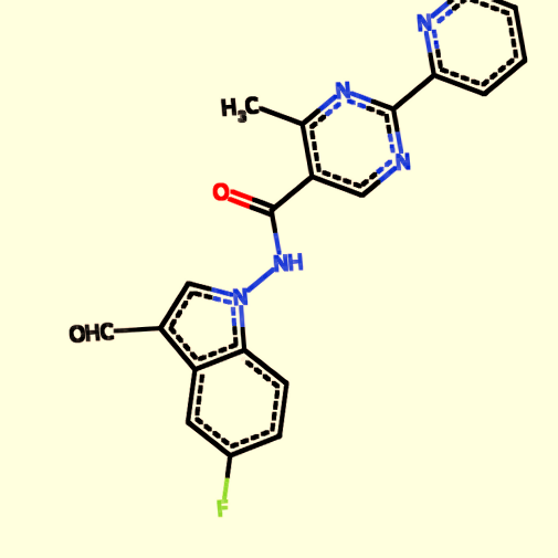 Cc1nc(-c2ccccn2)ncc1C(=O)Nn1cc(C=O)c2cc(F)ccc21